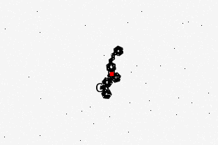 O=C(c1ccccc1)N1CCC(CCN2CCC(CCCc3ccccc3)CC2)(c2ccccc2)CC1